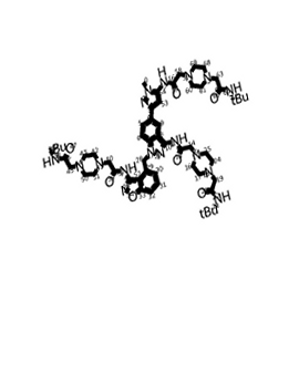 Cn1nc(-c2ccc3c(c2)c(NC(=O)CN2CCN(CC(=O)NC(C)(C)C)CC2)nn3Cc2cccc3onc(NC(=O)CN4CCN(CC(=O)NC(C)(C)C)CC4)c23)cc1NC(=O)CN1CCN(CC(=O)NC(C)(C)C)CC1